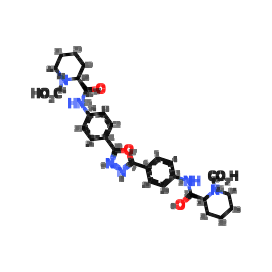 O=C(Nc1ccc(-c2nnc(-c3ccc(NC(=O)[C@@H]4CCCCN4C(=O)O)cc3)o2)cc1)[C@@H]1CCCCN1C(=O)O